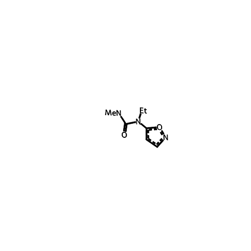 CCN(C(=O)NC)c1ccno1